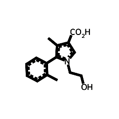 Cc1ccccc1-c1c(C)c(C(=O)O)cn1CCO